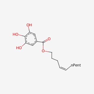 CCCCC/C=C\CCCOC(=O)c1cc(O)c(O)c(O)c1